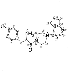 NC(Cc1ccc(Cl)cc1)C(=O)N1CCN(c2ncnc3c2CSC3)CC1